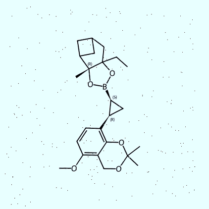 CCC12CC3CC(C3)[C@@]1(C)OB([C@H]1C[C@H]1c1ccc(OC)c3c1OC(C)(C)OC3)O2